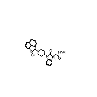 CNC(=O)C[C@]1(F)C(=O)N(C2CCN(C3c4cccc5cccc(c45)[C@H]3O)CC2)c2ccccc21